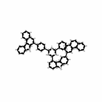 c1ccc(-c2nc(-c3ccc(-c4cc5ccccc5c5c4sc4ccccc45)cc3)nc(-c3cccc4oc5ccc(-c6ccc7ccc8ccccc8c7c6)cc5c34)n2)cc1